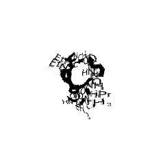 CCc1ccncc1-c1c2c3cc(ccc3n1CC)-c1cc(O)cc(c1)C[C@H](NC(=O)[C@H](C(C)C)N(C)C(=O)CN(C)C(=O)C1CN1)C(=O)N1CCC[C@H](N1)C(=O)OCC(C)(C)C2